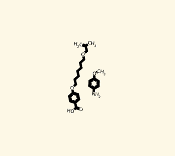 C=C(C)COCCCCCCCOc1ccc(C(=O)O)cc1.COc1ccc(N)cc1